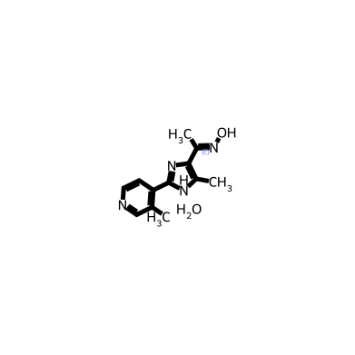 C/C(=N\O)c1nc(-c2ccncc2C)[nH]c1C.O